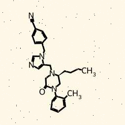 CCCC[C@H]1CN(c2ccccc2C)C(=O)CN1Cc1cncn1Cc1ccc(C#N)cc1